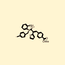 [CH]c1ccc(CN(C(=O)C(=Cc2ccc(C(=O)OC)cc2)c2cccs2)c2ccccc2N)cc1